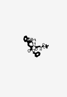 CC(C)(C)OC(=O)NCC(=O)NC(Cc1c[nH]c2ccccc12)C(=O)OCc1ccccc1